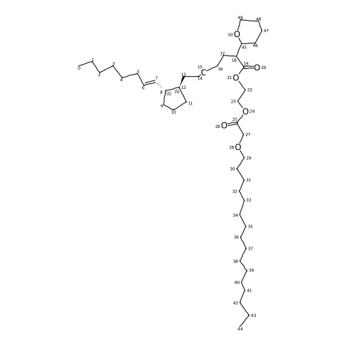 CCCCCCC=C[C@H]1CCC[C@@H]1CCCCCC(C(=O)OCCOC(=O)COCCCCCCCCCCCCCCCC)C1CCCCO1